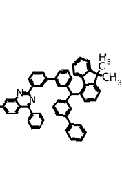 CC1(C)c2ccccc2-c2c(C(c3cccc(-c4ccccc4)c3)c3cccc(-c4cccc(-c5nc(-c6ccccc6)c6ccccc6n5)c4)c3)cccc21